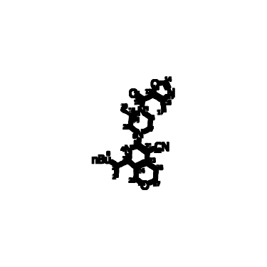 CCCCC(C)c1nc(N2CCN(C(=O)c3ocnc3C)[C@H](C)C2)c(C#N)c2c1COCC2